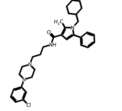 Cc1c(C(=O)NCCCN2CCN(c3cccc(Cl)c3)CC2)cc(-c2ccccc2)n1CC1CCCCC1